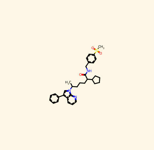 CC(CCCC(C(=O)NCc1ccc(S(C)(=O)=O)cc1)C1CCCC1)n1cc(-c2ccccc2)c2cccnc21